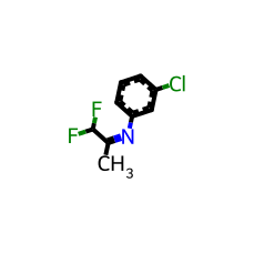 CC(=Nc1cccc(Cl)c1)C(F)F